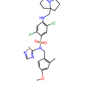 COc1ccc(CN(c2ncns2)S(=O)(=O)c2cc(Cl)c(NCC34CCCN3CCC4)cc2F)c(C)c1